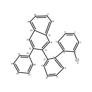 Clc1ccccc1-c1ccccc1-c1cc2ccccc2cc1-c1ccccc1